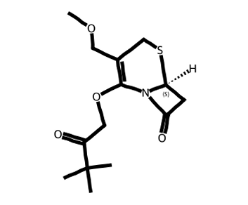 COCC1=C(OCC(=O)C(C)(C)C)N2C(=O)C[C@@H]2SC1